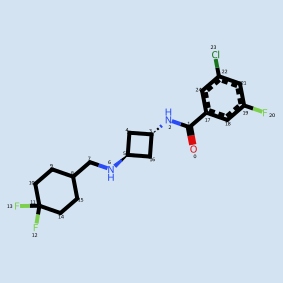 O=C(N[C@H]1C[C@H](NCC2CCC(F)(F)CC2)C1)c1cc(F)cc(Cl)c1